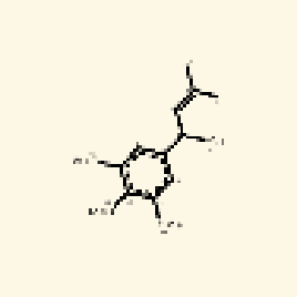 COc1cc(C(C=C(C)C)C(C)(C)C)cc(OC)c1OC